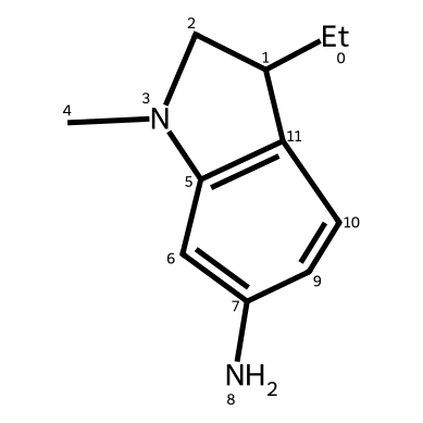 CCC1CN(C)c2cc(N)ccc21